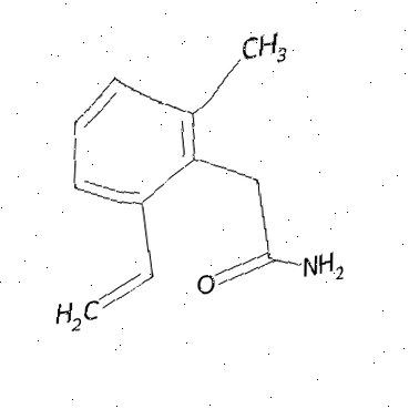 C=Cc1cccc(C)c1CC(N)=O